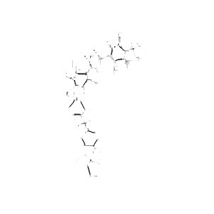 C/C=C\C(C)(CC)Oc1ccc(C(C)(C)c2ccc(Oc3c(F)c(F)c(-c4nnc(-c5c(F)c(F)c(C(C)(CC)CC)c(F)c5F)o4)c(F)c3F)cc2)cc1